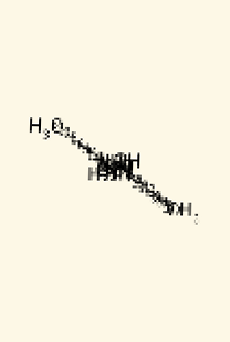 CCCCCCCCCCCCCCCNC(=O)c1cc(O)c(C(=O)NCCCCCCCCCCCCCCC)cc1O